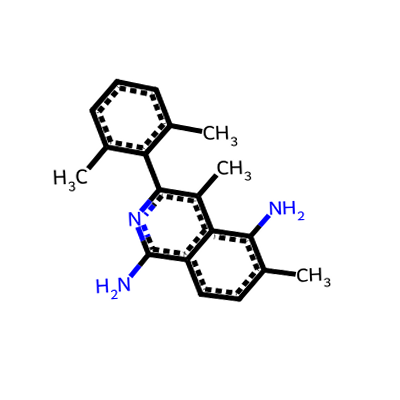 Cc1cccc(C)c1-c1nc(N)c2ccc(C)c(N)c2c1C